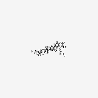 CCN(C[C@H]1C[C@@H](N)C1)C(C)Cc1ccc(-n2ccc(NC(=O)N3CCN(C(=O)C(C)(C)N)CC3)nc2=O)cc1